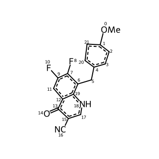 COc1ccc(Cc2c(F)c(F)cc3c(=O)c(C#N)c[nH]c23)cc1